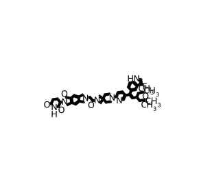 CC1(C)CC(C=C(c2ccc(N3CCC4(CC3)CN(C(=O)CN3Cc5cc6c(cc5C3)C(=O)N(C3CCC(=O)NC3=O)C6)C4)nc2)c2ccc3[nH]cc(F)c3c2)CC(C)(C)O1